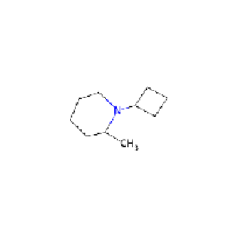 CC1CCCCN1C1CCC1